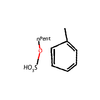 CCCCCOS(=O)(=O)O.Cc1ccccc1